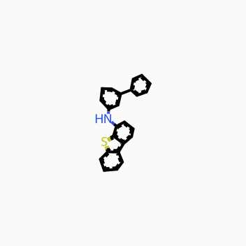 c1ccc(-c2cccc(Nc3cccc4c3sc3ccccc34)c2)cc1